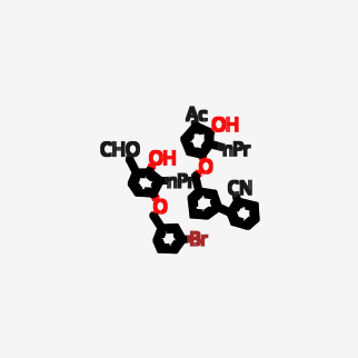 CCCc1c(OCc2cccc(-c3ccccc3C#N)c2)ccc(C(C)=O)c1O.CCCc1c(OCc2cccc(Br)c2)ccc(CC=O)c1O